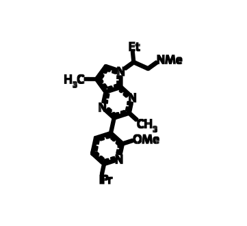 CCC(CNC)n1cc(C)c2nc(-c3ccc(C(C)C)nc3OC)c(C)nc21